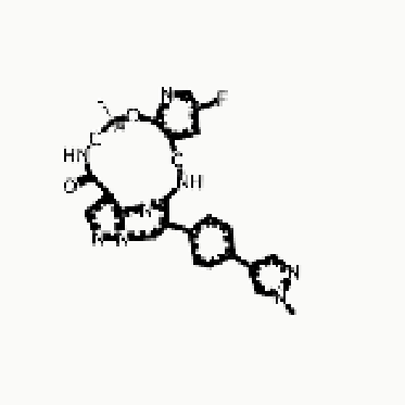 C[C@H]1CNC(=O)c2cnn3cc(-c4ccc(-c5cnn(C)c5)cc4)c(nc23)NCc2cc(F)cnc2O1